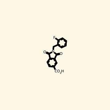 O=C(O)c1ccc2c(c1)C(=O)N(Cc1ccccc1F)C2=O